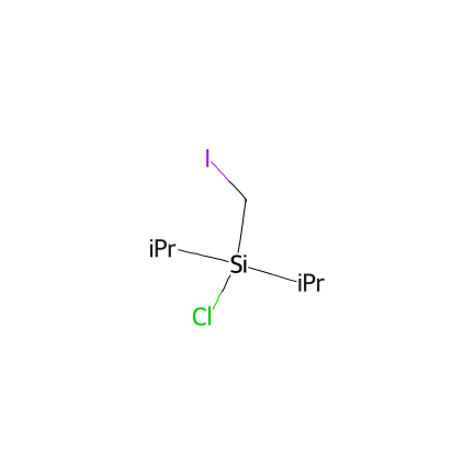 CC(C)[Si](Cl)(CI)C(C)C